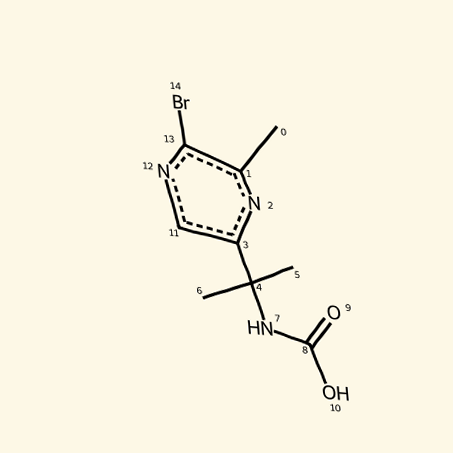 Cc1nc(C(C)(C)NC(=O)O)cnc1Br